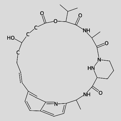 CC1NC(=O)C(C(C)C)OC(=O)CCC(O)CC/C=C/c2ccc3ccc(nc3c2)C(C)NC(=O)C2CCCN(N2)C1=O